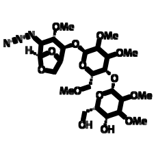 COC[C@@H]1O[C@@H](O[C@H]2C3CO[C@H](O3)C(N=[N+]=[N-])[C@@H]2OC)C(OC)C(OC)[C@@H]1O[C@H]1O[C@@H](CO)[C@@H](O)C(OC)C1OC